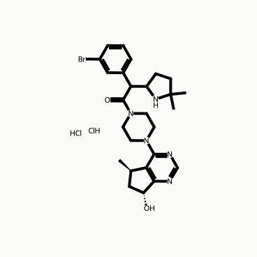 C[C@@H]1C[C@@H](O)c2ncnc(N3CCN(C(=O)C(c4cccc(Br)c4)C4CCC(C)(C)N4)CC3)c21.Cl.Cl